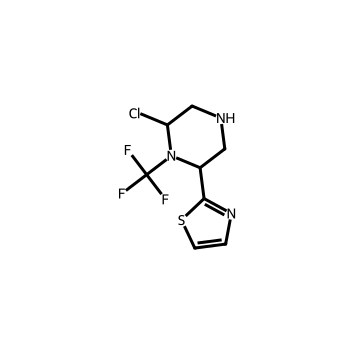 FC(F)(F)N1C(Cl)CNCC1c1nccs1